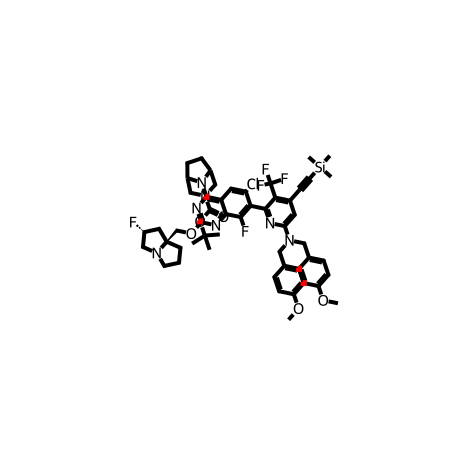 COc1ccc(CN(Cc2ccc(OC)cc2)c2cc(C#C[Si](C)(C)C)c(C(F)(F)F)c(-c3c(Cl)cc4c(N5C6CCC5CN(C(=O)OC(C)(C)C)C6)nc(OC[C@@]56CCCN5C[C@H](F)C6)nc4c3F)n2)cc1